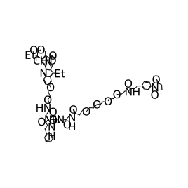 CCc1c2c(nc3ccc(OCCOCNC(=O)CNC(=O)[C@H](Cc4ccccc4)NC(=O)CNC(=O)CNC(=O)CCOCCOCCOCCOCCNC(=O)CCc4ccc(N5C(=O)C=CC5=O)cc4)cc13)-c1cc3c(c(=O)n1C2)COC(=O)[C@]3(C=O)CC